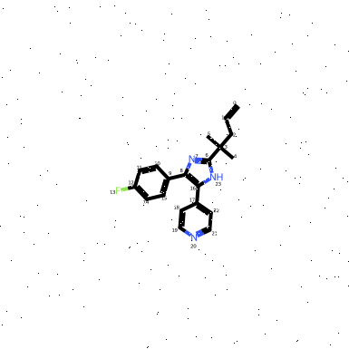 C=CCC(C)(C)c1nc(-c2ccc(F)cc2)c(-c2ccncc2)[nH]1